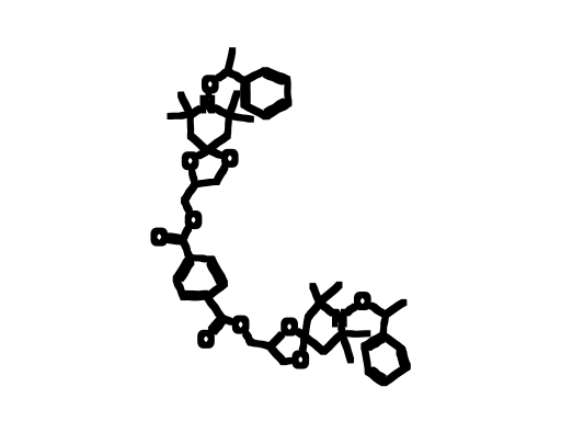 CC(ON1C(C)(C)CC2(CC1(C)C)OCC(COC(=O)c1ccc(C(=O)OCC3COC4(CC(C)(C)N(OC(C)c5ccccc5)C(C)(C)C4)O3)cc1)O2)c1ccccc1